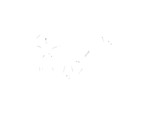 O=C(CCC#Cc1ccc2[nH]cc(C[C@@H](C(=O)O)N3C(=O)c4ccccc4C3=O)c2c1)NO